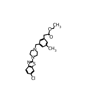 CCOC(=O)Cc1cc(C)cc(CN2CCN(c3nc4ccc(Cl)cc4s3)CC2)c1